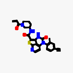 C=CC(=O)N1CCC[C@@H](NC(=O)c2sc3nccc4c3c2NC(=O)N4c2ccc(CC)cc2C)C1